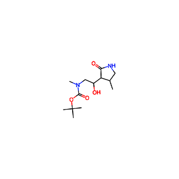 CC1CNC(=O)C1C(O)CN(C)C(=O)OC(C)(C)C